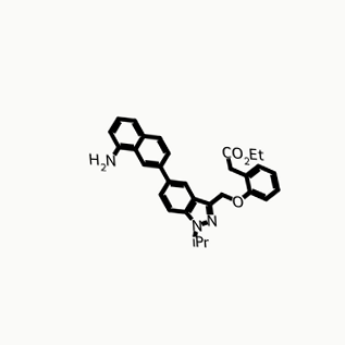 CCOC(=O)Cc1ccccc1OCc1nn(C(C)C)c2ccc(-c3ccc4cccc(N)c4c3)cc12